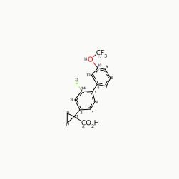 O=C(O)C1(c2ccc(-c3cccc(OC(F)(F)F)c3)c(F)c2)CC1